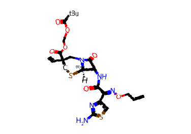 C=CCON=C(C(=O)NC1C(=O)N2CC(C=C)(C(=O)OCOC(=O)C(C)(C)C)CS[C@H]12)c1csc(N)n1